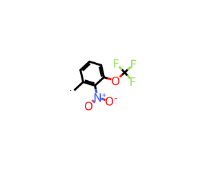 [CH2]c1cccc(OC(F)(F)F)c1[N+](=O)[O-]